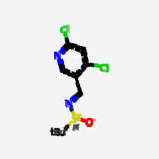 CC(C)(C)[S@+]([O-])N=Cc1cnc(Cl)cc1Cl